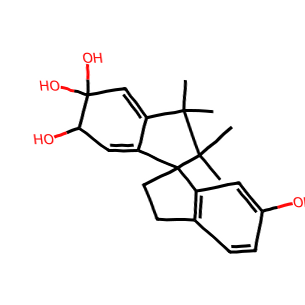 CC1(C)C2=CC(O)(O)C(O)C=C2C2(CCc3ccc(O)cc32)C1(C)C